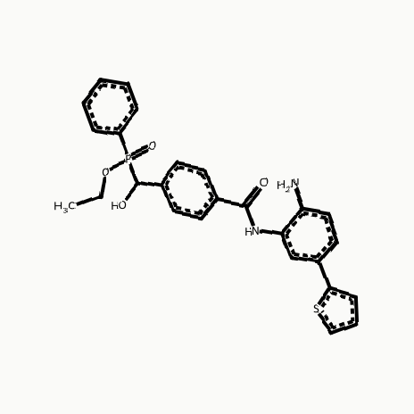 CCOP(=O)(c1ccccc1)C(O)c1ccc(C(=O)Nc2cc(-c3cccs3)ccc2N)cc1